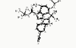 Cc1cc(OC(F)F)c(C(C)(O)c2nc3ccc(C#N)cc3[nH]2)c2ccn(C(=O)OC(C)(C)C)c12